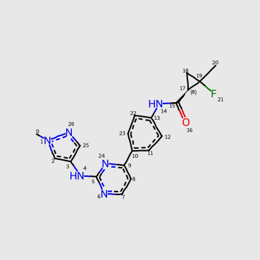 Cn1cc(Nc2nccc(-c3ccc(NC(=O)[C@H]4CC4(C)F)cc3)n2)cn1